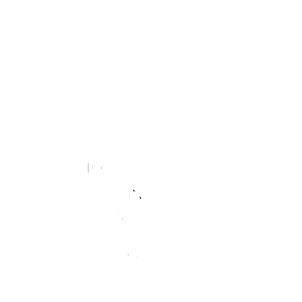 COc1cccc2c(O)c(C3NS(=O)(=O)c4ccccc4-c4ccccc43)ccc12